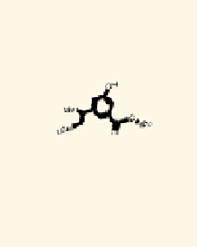 CC(C)(C)CC(c1cc(O)cc(C(=O)OC(C)(C)C)c1)C(C)(C)C